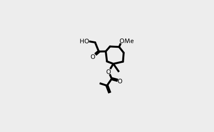 C=C(C)C(=O)OC1(C)CCC(OC)CC(C(=O)CO)C1